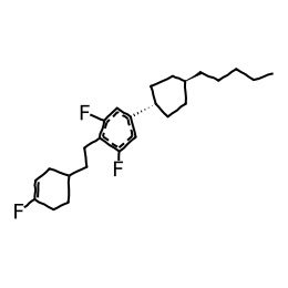 CCCCC[C@H]1CC[C@H](c2cc(F)c(CCC3CC=C(F)CC3)c(F)c2)CC1